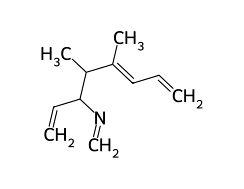 C=C/C=C(\C)C(C)C(C=C)N=C